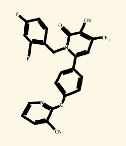 N#Cc1cccnc1Oc1ccc(-c2cc(C(F)(F)F)c(C#N)c(=O)n2Cc2ccc(F)cc2F)cc1